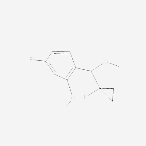 COc1cc(F)ccc1C(OC)C1(F)CC1